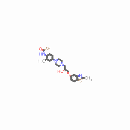 Cc1nc2cc(OC[C@H](O)CN3CCN(c4ccc(NC(=O)S)c(C)c4)CC3)ccc2s1